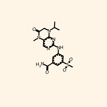 CC(C)N1CC(=O)N(C)c2cnc(Nc3cc(C(N)=O)cc(S(C)(=O)=O)c3)nc21